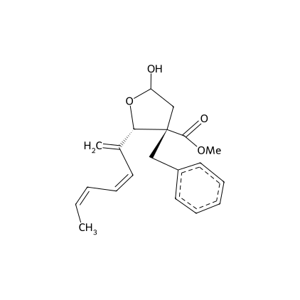 C=C(/C=C\C=C/C)[C@@H]1OC(O)C[C@]1(Cc1ccccc1)C(=O)OC